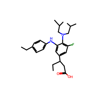 CCc1ccc(Nc2cc(C(CC)CC(=O)O)cc(F)c2N(CC(C)C)CC(C)C)cc1